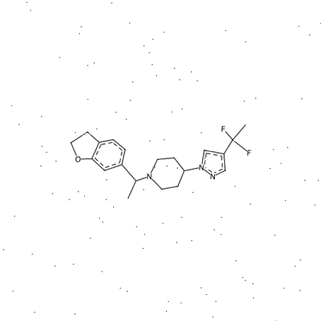 CC(c1ccc2c(c1)OCC2)N1CCC(n2cc(C(C)(F)F)cn2)CC1